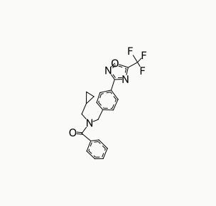 O=C(c1ccccc1)N(Cc1ccc(-c2noc(C(F)(F)F)n2)cc1)CC1CC1